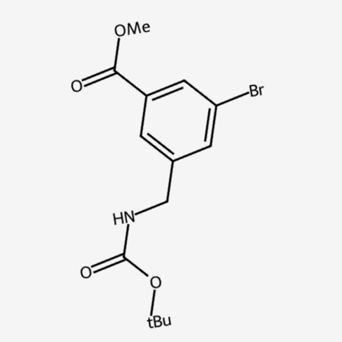 COC(=O)c1cc(Br)cc(CNC(=O)OC(C)(C)C)c1